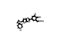 CN/C=C1/C=C(c2nc3sc(N4CCC45CCNCC5)cc3s2)C=C(F)C1=N